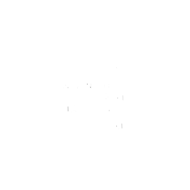 CCO[Si](C)(OCC)C(CC)N=C=O